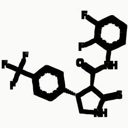 O=C(Nc1cccc(F)c1F)[C@H]1C(=S)NC[C@@H]1c1ccc(C(F)(F)F)cc1